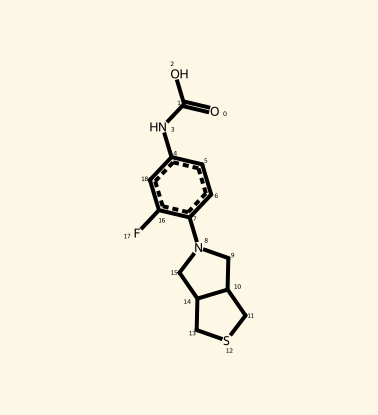 O=C(O)Nc1ccc(N2CC3CSCC3C2)c(F)c1